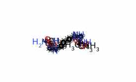 COC(=O)N[C@H](C(=O)N1CCC[C@H]1c1nc(-c2ccc(-c3ccc4cc(-c5cnc([C@@H]6CCCN6C(=O)C(C)OC(N)=O)[nH]5)ccc4c3)cc2)c[nH]1)C(C)C